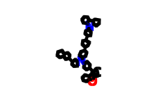 c1cc(-c2ccc3ccccc3c2)cc(N(c2ccc(-c3ccc(-c4ccc(-n5c6ccccc6c6ccccc65)cc4)cc3)cc2)c2ccc(-c3cccc4oc5ccccc5c34)cc2)c1